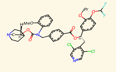 COc1ccccc1N(Cc1ccc(C(=O)O[C@@H](Cc2c(Cl)cncc2Cl)c2ccc(OC(F)F)c(OC(C)C)c2)cc1)C(=O)O[C@H]1CN2CCC1CC2